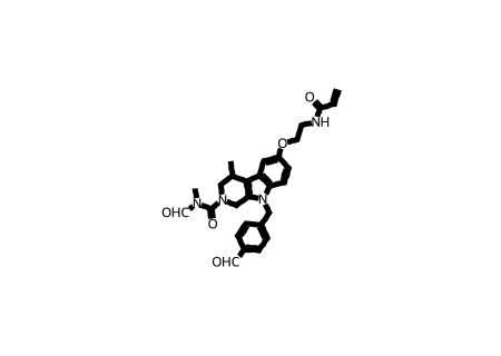 C=CC(=O)NCCOc1ccc2c(c1)c1c(n2Cc2ccc(C=O)cc2)CN(C(=O)N(C)C=O)CC1C